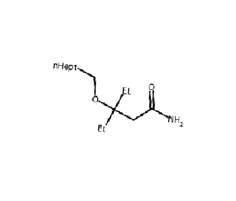 CCCCCCCCOC(CC)(CC)CC(N)=O